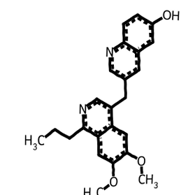 CCCc1ncc(Cc2cnc3ccc(O)cc3c2)c2cc(OC)c(OC)cc12